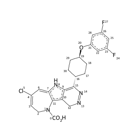 O=C(O)N1CC=C(Cl)C=c2[nH]c3c(c21)CN=NC=3[C@H]1CC[C@H](Oc2cc(F)cc(F)c2)CC1